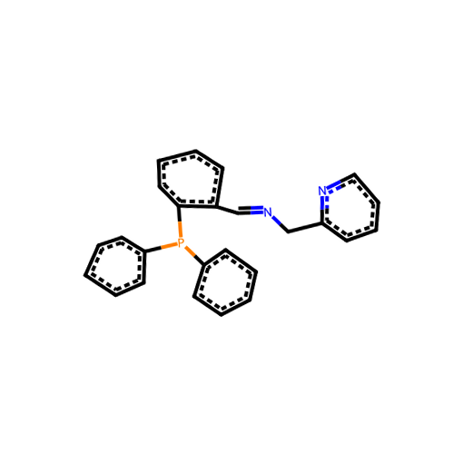 C(=N\Cc1ccccn1)/c1ccccc1P(c1ccccc1)c1ccccc1